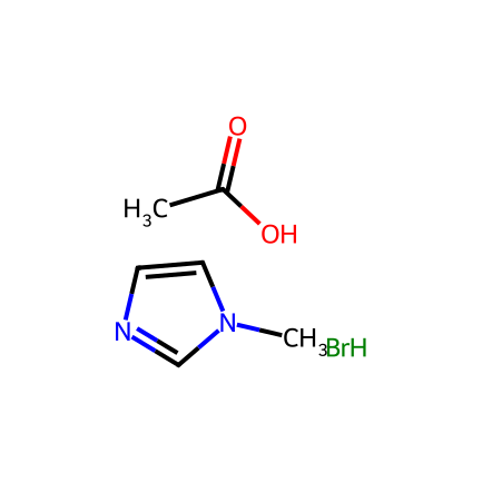 Br.CC(=O)O.Cn1ccnc1